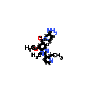 CCc1ncccc1-c1nc2cc(C(=O)N3CCC[C@@H](N)C3)cc(OC)c2n1C